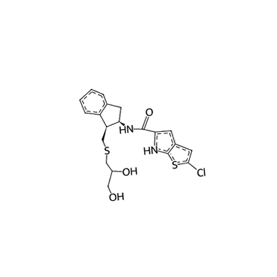 O=C(N[C@@H]1Cc2ccccc2[C@@H]1CSCC(O)CO)c1cc2cc(Cl)sc2[nH]1